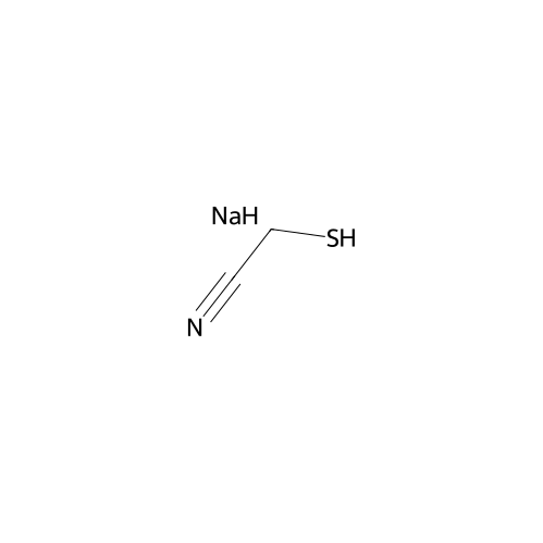 N#CCS.[NaH]